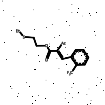 CCSCCOC(=O)/C(=C/c1ccccc1C(F)(F)F)C(C)=O